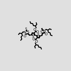 C=c1s/c(=C\c2cc(C(=O)OCC(CC)CCCC)c(-c3sc(/C=C4\SC(=S)N(CC(CC)CCCC)C4=O)cc3C(=O)OCC(CC)CCCC)s2)c(=O)n1CC(CC)CCCC